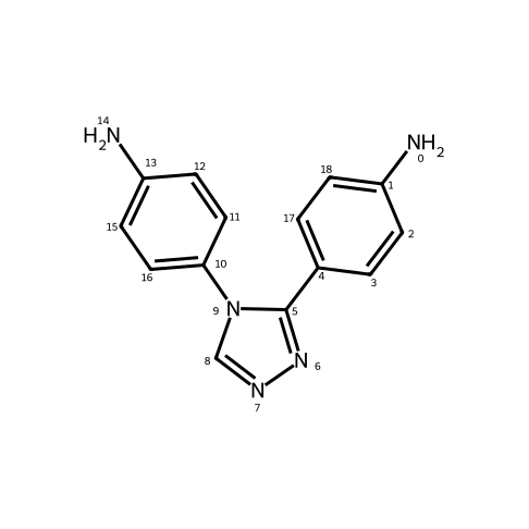 Nc1ccc(-c2nncn2-c2ccc(N)cc2)cc1